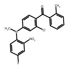 Cc1ccccc1C(=O)c1ccc(N(C)c2ccc(F)cc2[N+](=O)[O-])cc1Cl